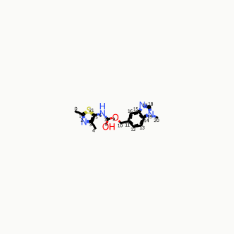 Cc1nc(C)c(NC(O)OCc2ccc3c(c2)ncn3C)s1